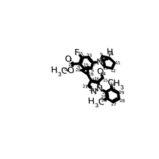 COC(=O)c1ccc(N2C[C@H]3CC[C@]2(OCc2c(C4CC4)cnn2-c2c(C)cccc2C)C3)cc1F